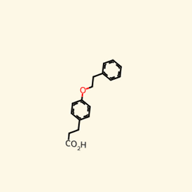 O=C(O)CCc1ccc(OCCc2ccccc2)cc1